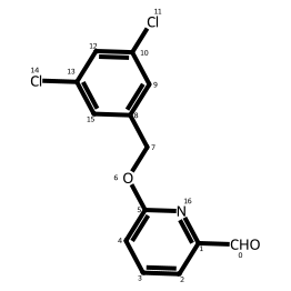 O=Cc1cccc(OCc2cc(Cl)cc(Cl)c2)n1